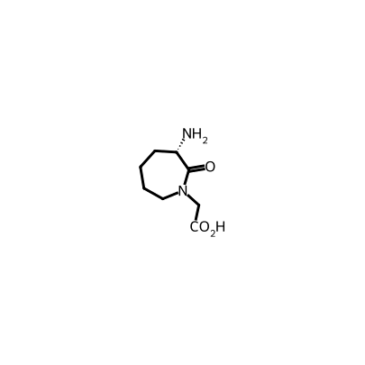 N[C@H]1CCCCN(CC(=O)O)C1=O